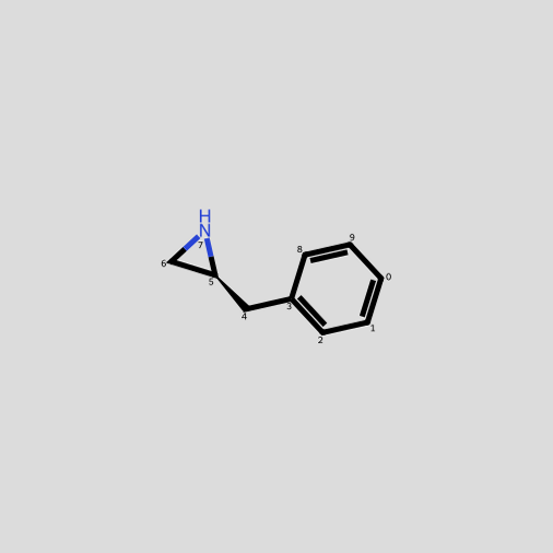 c1ccc(C[C@H]2CN2)cc1